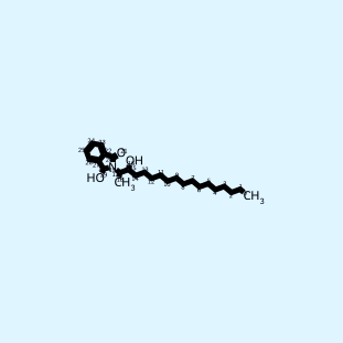 CCCCCCCCCCCCCCCC(O)C(C)N1C(=O)c2ccccc2C1O